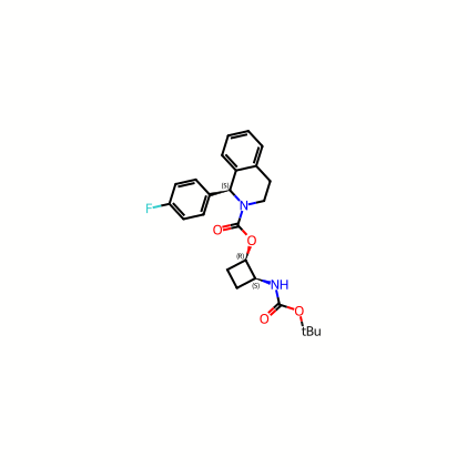 CC(C)(C)OC(=O)N[C@H]1CC[C@H]1OC(=O)N1CCc2ccccc2[C@@H]1c1ccc(F)cc1